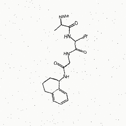 CNC(C)C(=O)NC(C(=O)NCC(=O)NC1CCCc2ccccc21)C(C)C